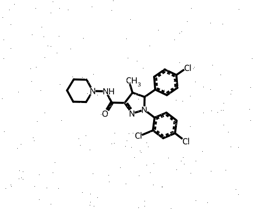 CC1C(C(=O)NN2CCCCC2)=NN(c2ccc(Cl)cc2Cl)C1c1ccc(Cl)cc1